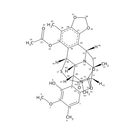 COC1=C(O)C2C(C=C1C)C[C@H]1[C@H](C)N3[C@@H]([C@@H]4SCC(=O)C(=O)OC[C@H]3c3c5c(c(C)c(OC(C)=O)c34)OCO5)[C@@H]2N1C